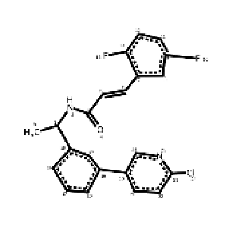 CC(NC(=O)C=Cc1cc(F)ccc1F)c1cccc(-c2ccc(Cl)nc2)c1